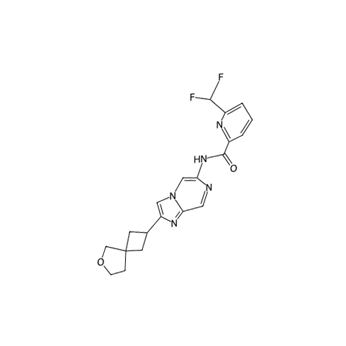 O=C(Nc1cn2cc(C3CC4(CCOC4)C3)nc2cn1)c1cccc(C(F)F)n1